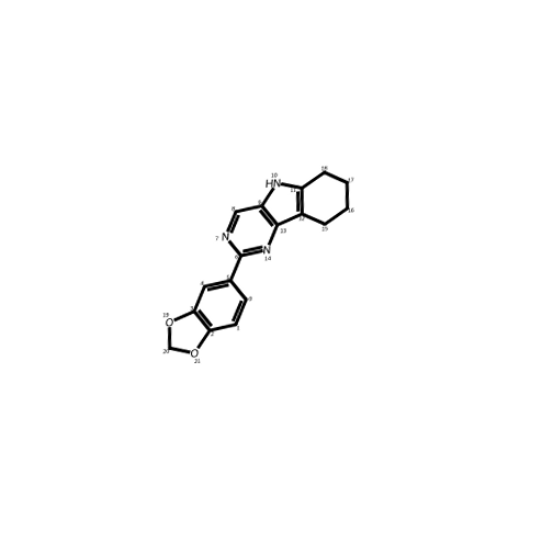 c1cc2c(cc1-c1ncc3[nH]c4c(c3n1)CCCC4)OCO2